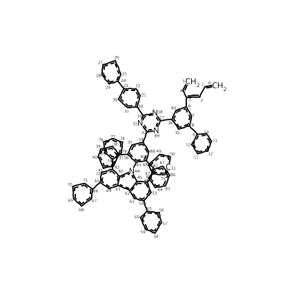 C=C/C=C(\C=C)c1cc(-c2ccccc2)cc(-c2nc(-c3ccc(-c4ccccc4)cc3)nc(-c3cc(-c4ccccc4)c(-n4c5c(-c6ccccc6)cc(-c6ccccc6)cc5c5cc(-c6ccccc6)cc(-c6ccccc6)c54)c(-c4ccccc4)c3)n2)c1